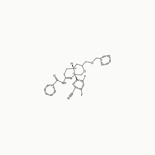 N#Cc1cc([C@]23COC(COCc4ccccc4)C[C@H]2CSC(NC(=O)c2ccccc2)=N3)c(F)cc1F